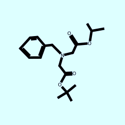 CC(C)OC(=O)CN(CC(=O)OC(C)(C)C)Cc1ccccc1